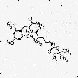 Cc1cc(O)cc(C)c1CC(NC(=O)C(N)CCNC(=O)OC(C)(C)C)C(N)=O